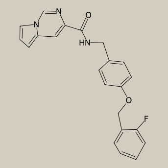 O=C(NCc1ccc(OCc2ccccc2F)cc1)c1cc2cccn2cn1